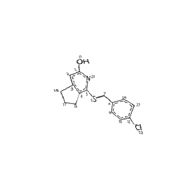 Oc1cc2c(c(SCc3ccc(Cl)cc3)n1)CCC2